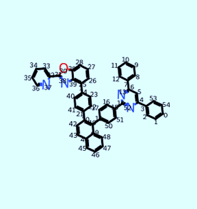 c1ccc(-c2cc(-c3ccccc3)nc(-c3ccc(-c4c(-c5ccc(-c6cccc7oc(-c8ccccn8)nc67)cc5)ccc5ccccc45)cc3)n2)cc1